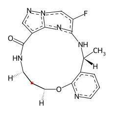 C[C@H]1Nc2nc3c(cnn3cc2F)C(=O)N[C@H]2C[C@H](C2)Oc2ncccc21